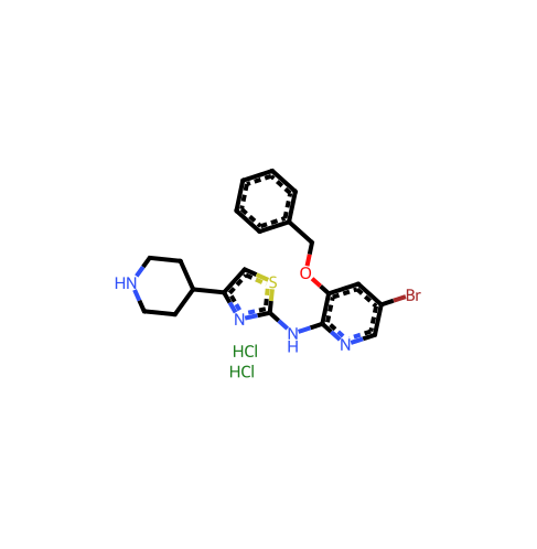 Brc1cnc(Nc2nc(C3CCNCC3)cs2)c(OCc2ccccc2)c1.Cl.Cl